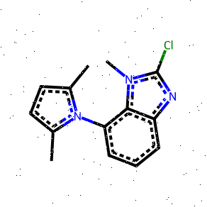 Cc1ccc(C)n1-c1cccc2nc(Cl)n(C)c12